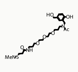 CNSCCC(=O)NCCCOCCOCCOCCCN(Cc1cc(CO)ccc1O)C(C)=O